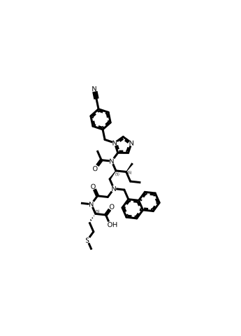 CC[C@H](C)[C@@H](CN(CC(=O)N(C)[C@@H](CCSC)C(=O)O)Cc1cccc2ccccc12)N(C(C)=O)c1cncn1Cc1ccc(C#N)cc1